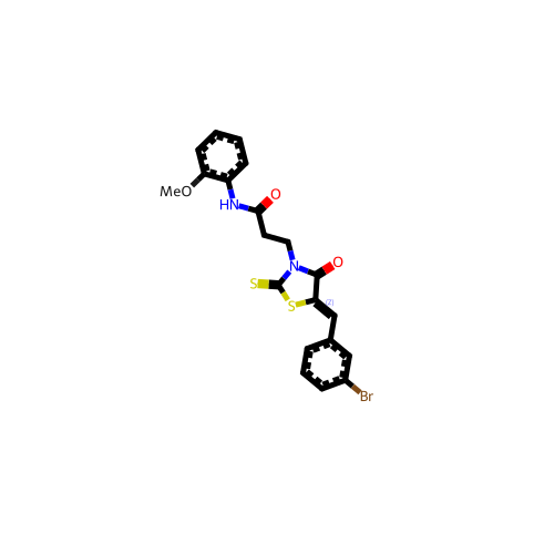 COc1ccccc1NC(=O)CCN1C(=O)/C(=C/c2cccc(Br)c2)SC1=S